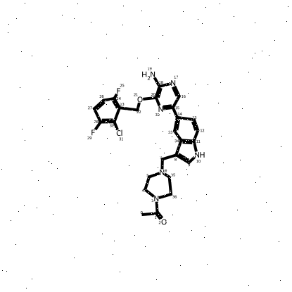 CC(=O)N1CCN(Cc2c[nH]c3ccc(-c4cnc(N)c(OCc5c(F)ccc(F)c5Cl)n4)cc23)CC1